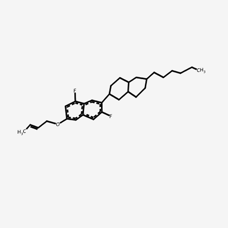 CC=CCOc1cc(F)c2cc(C3CCC4CC(CCCCCC)CCC4C3)c(F)cc2c1